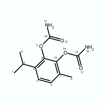 Cc1ccc(C(C)C)c(OC(N)=O)c1OC(N)=O